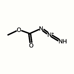 COC(=O)N=[N+]=N